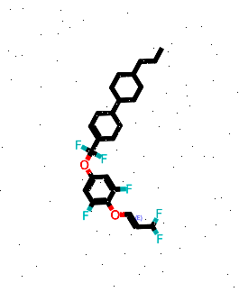 CCCC1CCC(C2CC=C(C(F)(F)Oc3cc(F)c(O/C=C/C(F)F)c(F)c3)CC2)CC1